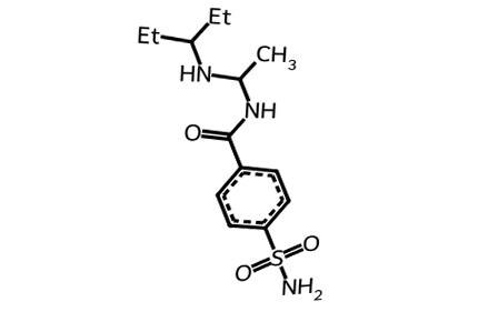 CCC(CC)NC(C)NC(=O)c1ccc(S(N)(=O)=O)cc1